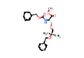 COC(=O)[C@H](COCC(C)(C)OCc1ccccc1)NC(=O)OCc1ccccc1